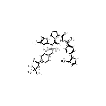 Cc1cc([C@H](C(=O)N2CCC[C@H]2C(=O)N[C@@H](C)c2ccc(-c3scnc3C)cc2)C(C)(C)CN2CCN(C(=O)OC(C)(C)C)CC2)on1